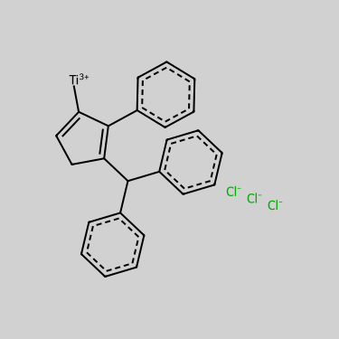 [Cl-].[Cl-].[Cl-].[Ti+3][C]1=CCC(C(c2ccccc2)c2ccccc2)=C1c1ccccc1